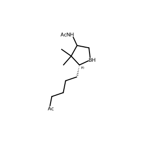 CC(=O)CCCC[C@H]1BCC(NC(C)=O)C1(C)C